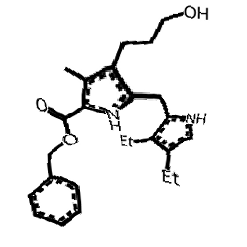 CCc1c[nH]c(Cc2[nH]c(C(=O)OCc3ccccc3)c(C)c2CCCO)c1CC